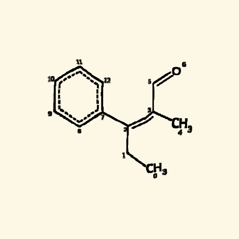 CCC(=C(C)C=O)c1ccccc1